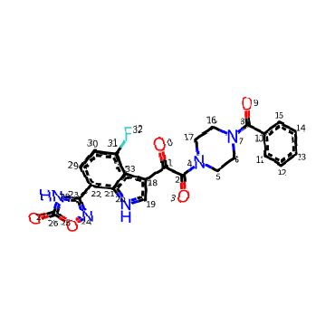 O=C(C(=O)N1CCN(C(=O)c2ccccc2)CC1)c1c[nH]c2c(-c3noc(=O)[nH]3)ccc(F)c12